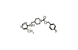 Cc1cncnc1NCC1CCN(C(=O)OCc2ccc(F)cc2)CC1